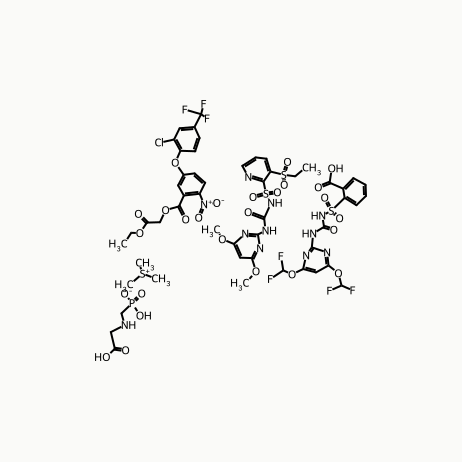 CCOC(=O)COC(=O)c1cc(Oc2ccc(C(F)(F)F)cc2Cl)ccc1[N+](=O)[O-].CCS(=O)(=O)c1cccnc1S(=O)(=O)NC(=O)Nc1nc(OC)cc(OC)n1.C[S+](C)C.O=C(Nc1nc(OC(F)F)cc(OC(F)F)n1)NS(=O)(=O)c1ccccc1C(=O)O.O=C(O)CNCP(=O)([O-])O